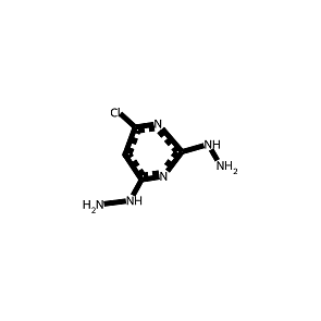 NNc1cc(Cl)nc(NN)n1